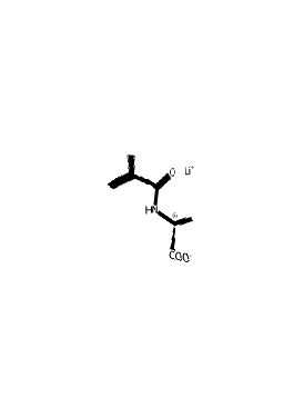 C=C(C)C(=O)N[C@@H](C)C(=O)[O-].[Li+]